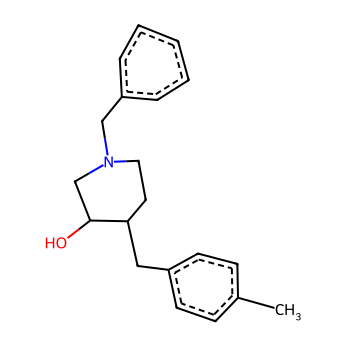 Cc1ccc(CC2CCN(Cc3ccccc3)CC2O)cc1